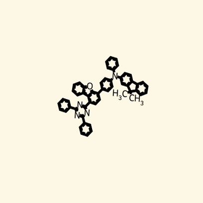 CC1(C)c2ccccc2-c2ccc(N(c3ccccc3)c3ccc(-c4ccc(-c5nc(-c6ccccc6)nc(-c6ccccc6)n5)c5c4oc4ccccc45)cc3)cc21